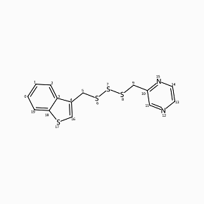 c1ccc2c(CSSSCc3cnccn3)csc2c1